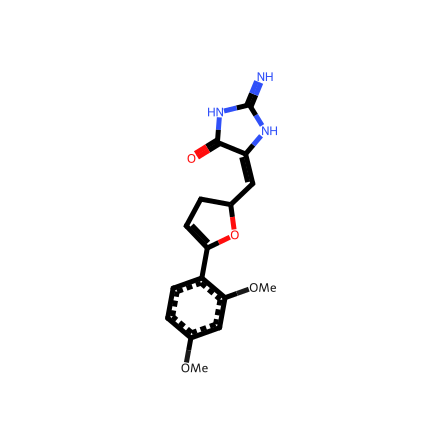 COc1ccc(C2=CCC(/C=C3/NC(=N)NC3=O)O2)c(OC)c1